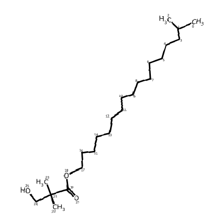 CC(C)CCCCCCCCCCCCCCCOC(=O)C(C)(C)CO